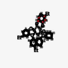 CCc1ccc(ON2P(Oc3ccc(CC)cc3)N=P(Oc3ccccc3)(Oc3ccccc3)N(Oc3ccccc3)P2Oc2ccc(CC)cc2)cc1